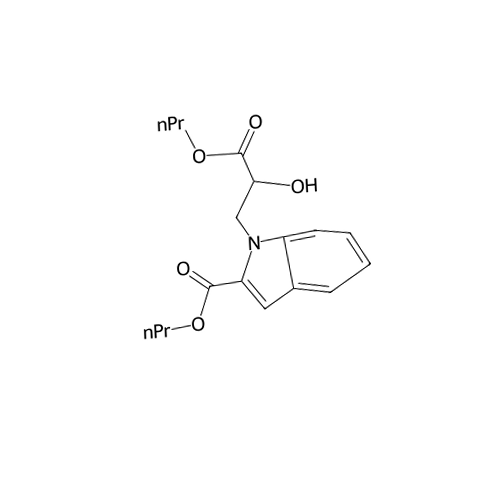 CCCOC(=O)c1cc2ccccc2n1CC(O)C(=O)OCCC